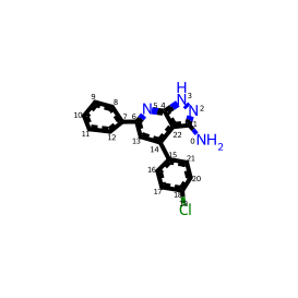 Nc1n[nH]c2nc(-c3ccccc3)cc(-c3ccc(Cl)cc3)c12